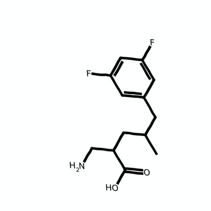 CC(Cc1cc(F)cc(F)c1)CC(CN)C(=O)O